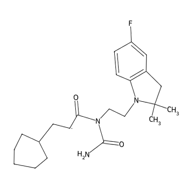 CC1(C)Cc2cc(F)ccc2N1CCN(C(N)=O)C(=O)[CH]CC1CCCCC1